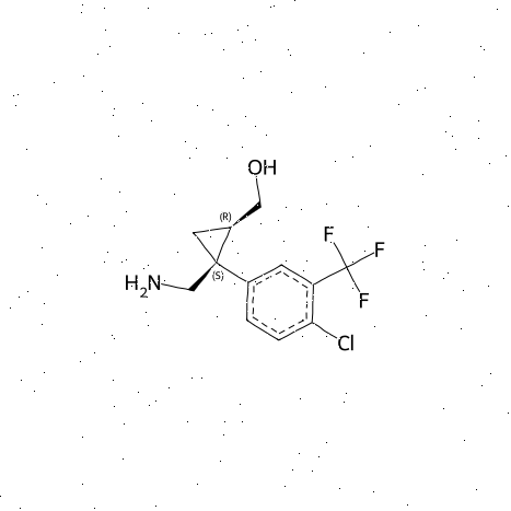 NC[C@@]1(c2ccc(Cl)c(C(F)(F)F)c2)C[C@H]1CO